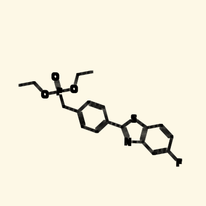 CCOP(=O)(Cc1ccc(-c2nc3cc(F)ccc3s2)cc1)OCC